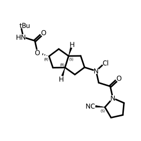 CC(C)(C)NC(=O)O[C@H]1C[C@H]2CC(N(Cl)CC(=O)N3CCC[C@H]3C#N)C[C@H]2C1